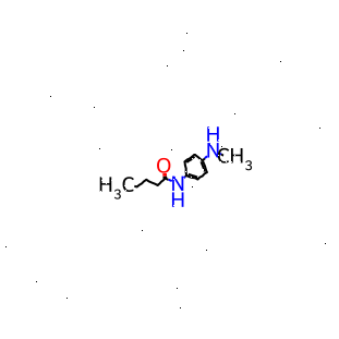 CCCCC(=O)Nc1ccc(NC)cc1